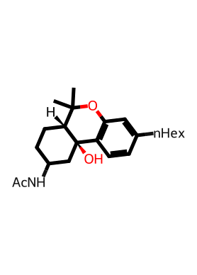 CCCCCCc1ccc2c(c1)OC(C)(C)[C@H]1CCC(NC(C)=O)C[C@@]21O